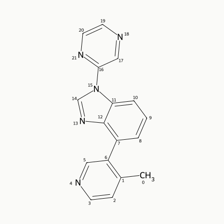 Cc1ccncc1-c1cccc2c1ncn2-c1cnccn1